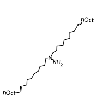 CCCCCCCCC=CCCCCCCCCN(N)CCCCCCCCC=CCCCCCCCC